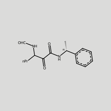 CCCC(NC=O)C(=O)C(=O)N[C@H](C)c1ccccc1